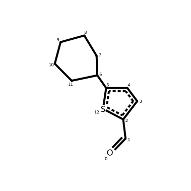 O=Cc1ccc(C2CCCCC2)s1